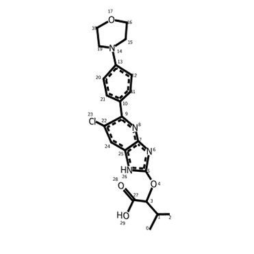 CC(C)C(Oc1nc2nc(-c3ccc(N4CCOCC4)cc3)c(Cl)cc2[nH]1)C(=O)O